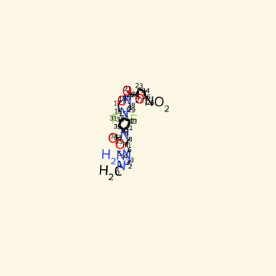 C=N/C=C\N(N)C[C@H]1CN(c2cc(F)c(N3CCON(C(=O)c4ccc([N+](=O)[O-])o4)CC3)c(F)c2)C(=O)O1